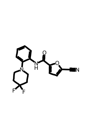 N#Cc1ccc(C(=O)Nc2ccccc2N2CCC(F)(F)CC2)o1